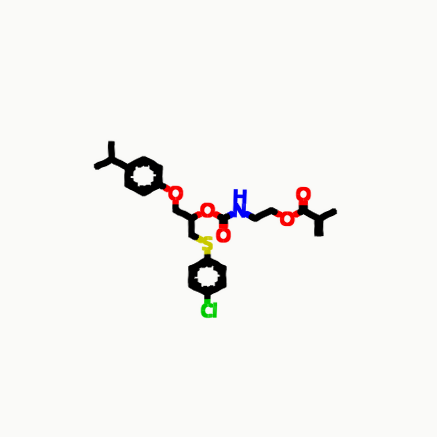 C=C(C)C(=O)OCCNC(=O)OC(COc1ccc(C(C)C)cc1)CSc1ccc(Cl)cc1